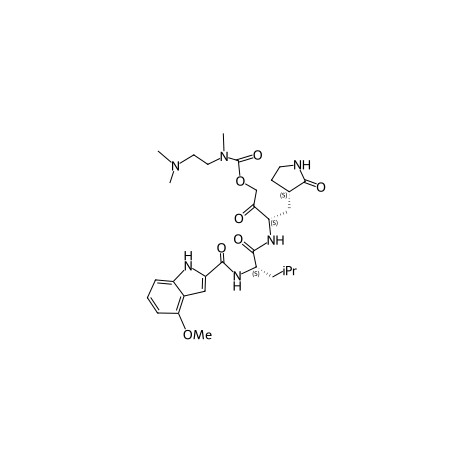 COc1cccc2[nH]c(C(=O)N[C@@H](CC(C)C)C(=O)N[C@@H](C[C@@H]3CCNC3=O)C(=O)COC(=O)N(C)CCN(C)C)cc12